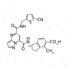 Cc1c(C(=O)O)ccc2c1CC[C@@H]2NC(=O)c1cc(C(=O)NCc2ccc(C#N)s2)nc2ccnn12